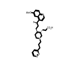 COc1ccc2nccc([C@H](F)CC[C@@H]3CCN(CCCc4cccnn4)C[C@H]3CCC(=O)O)c2c1